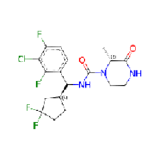 C[C@@H]1C(=O)NCCN1C(=O)NC(c1ccc(F)c(Cl)c1F)[C@H]1CCC(F)(F)C1